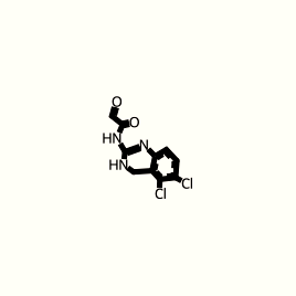 O=CC(=O)NC1=Nc2ccc(Cl)c(Cl)c2CN1